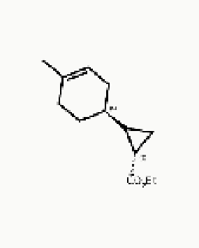 CCOC(=O)[C@H]1CC1[C@@H]1CC=C(C)CC1